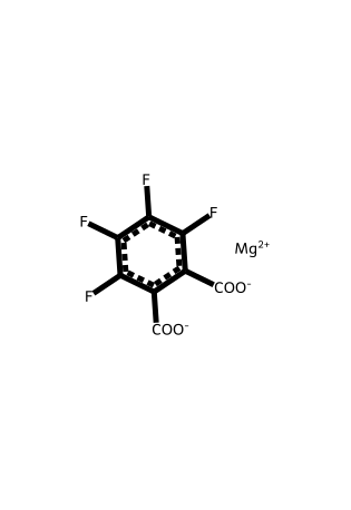 O=C([O-])c1c(F)c(F)c(F)c(F)c1C(=O)[O-].[Mg+2]